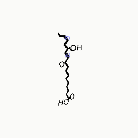 CC/C=C\CC(O)/C=C/C(=O)CCCCCCCCC(=O)O